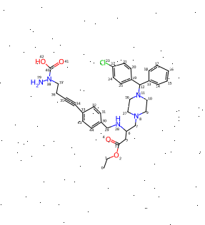 CCOC(=O)CC(CN1CCN(C(c2ccccc2)c2ccc(Cl)cc2)CC1)NCc1ccc(C#CCCN(N)C(=O)O)cc1